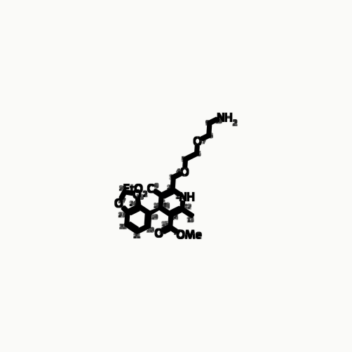 CCOC(=O)C1=C(COCCOCCN)NC(C)=C(C(=O)OC)[C@H]1c1cccc2c1OCO2